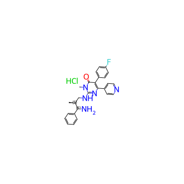 C[C@@H](CNc1nc(-c2ccncc2)c(-c2ccc(F)cc2)c(=O)n1C)[C@H](N)c1ccccc1.Cl